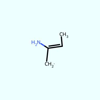 [CH2]C(N)=CC